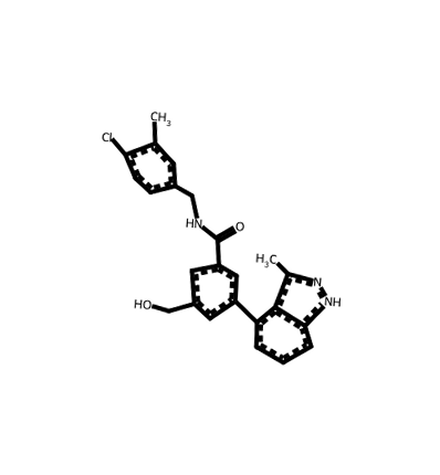 Cc1cc(CNC(=O)c2cc(CO)cc(-c3cccc4[nH]nc(C)c34)c2)ccc1Cl